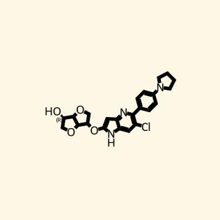 O[C@@H]1COC2C(Oc3cc4nc(-c5ccc(N6CCCC6)cc5)c(Cl)cc4[nH]3)COC21